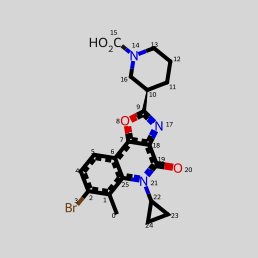 Cc1c(Br)ccc2c3oc([C@@H]4CCCN(C(=O)O)C4)nc3c(=O)n(C3CC3)c12